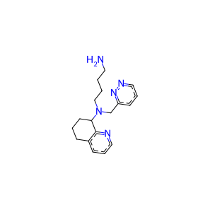 NCCCCN(Cc1cccnn1)C1CCCc2cccnc21